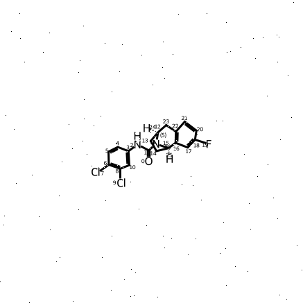 O=C(Nc1ccc(Cl)c(Cl)c1)N1[C@H]2CC[C@@H]1c1cc(F)ccc1C2